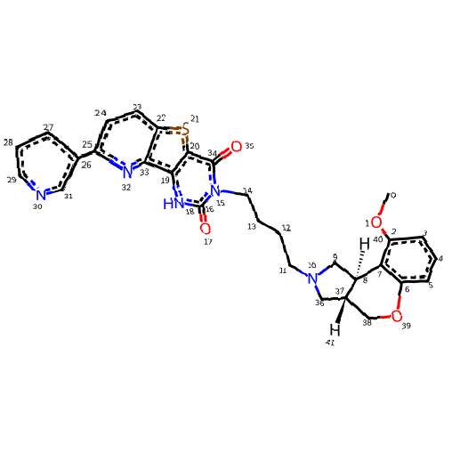 COc1cccc2c1[C@@H]1CN(CCCCn3c(=O)[nH]c4c(sc5ccc(-c6cccnc6)nc54)c3=O)C[C@H]1CO2